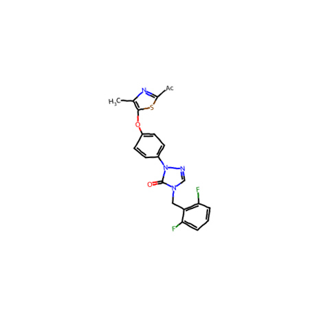 CC(=O)c1nc(C)c(Oc2ccc(-n3ncn(Cc4c(F)cccc4F)c3=O)cc2)s1